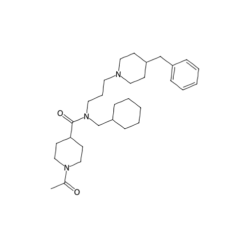 CC(=O)N1CCC(C(=O)N(CCCN2CCC(Cc3ccccc3)CC2)CC2CCCCC2)CC1